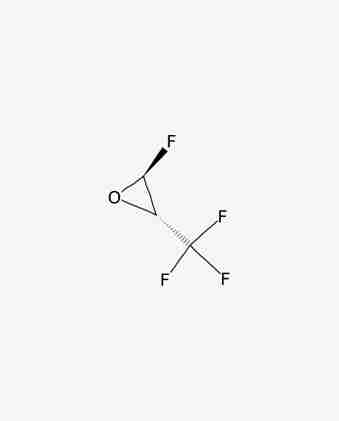 F[C@@H]1O[C@H]1C(F)(F)F